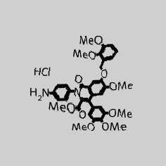 COC(=O)c1c(-c2cc(OC)c(OC)c(OC)c2)c2cc(OC)c(OCc3cccc(OC)c3OC)cc2c(=O)n1-c1ccc(N)cc1.Cl